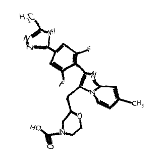 Cc1ccn2c(CC3CN(C(=O)O)CCO3)c(-c3c(F)cc(-c4nnc(C)[nH]4)cc3F)nc2c1